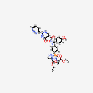 CCOC(=O)[C@@H](C)NP(=O)(N[C@H](C)C(=O)OCC)c1ccc(C(NC(=O)c2cnc(-c3cccnn3)nc2O)c2ccc(OC)cc2)cc1